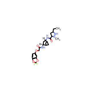 CCC1CC(C(=O)N[C@@H]2C[C@H](NC(=O)COc3ccc4c(c3)OC(F)(F)O4)C3CC2C3)N(C)N1